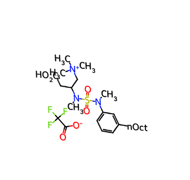 CCCCCCCCc1cccc(N(C)S(=O)(=O)N(C)C(CC(=O)O)C[N+](C)(C)C)c1.O=C([O-])C(F)(F)F